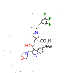 COc1ccc2ncc(CN3CCOCC3)c(C(O)CCC3(CC(=O)O)CCN(CCCc4cc(F)c(F)c(F)c4)CC3)c2c1